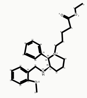 CCOC(=O)CCCCN1CCC[C@@H](NCc2ccccc2OC)[C@H]1c1ccccc1